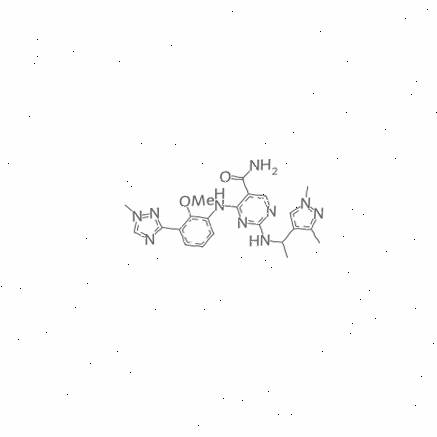 COc1c(Nc2nc(NC(C)c3cn(C)nc3C)ncc2C(N)=O)cccc1-c1ncn(C)n1